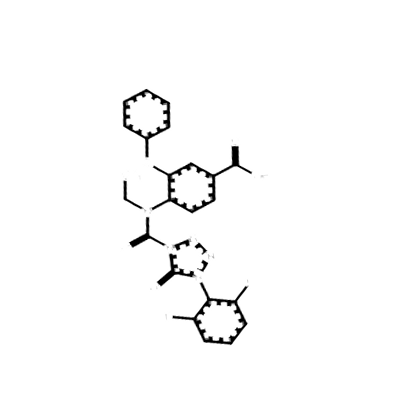 CCN(C(=O)n1nnn(-c2c(F)cccc2F)c1=O)c1ccc(C(=O)O)cc1Oc1ccccc1